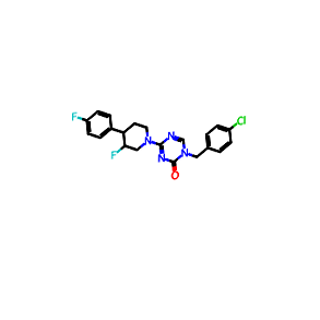 O=c1nc(N2CCC(c3ccc(F)cc3)C(F)C2)ncn1Cc1ccc(Cl)cc1